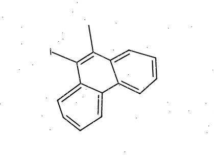 Cc1c(I)c2ccccc2c2ccccc12